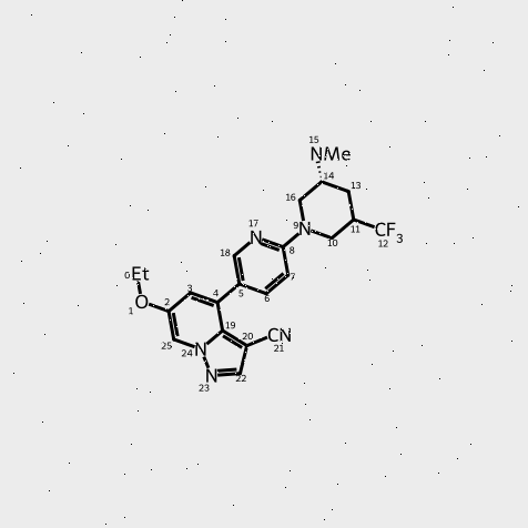 CCOc1cc(-c2ccc(N3CC(C(F)(F)F)C[C@@H](NC)C3)nc2)c2c(C#N)cnn2c1